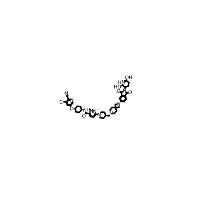 N#Cc1ncc(O[C@H]2CC[C@H](NC(=O)c3ccc(N4CCC(CN5CCC6(CC5)CN(c5ccc7c(c5)C(=O)N(C5CCC(O)NC5O)C7=O)C6)CC4)nn3)CC2)cc1Cl